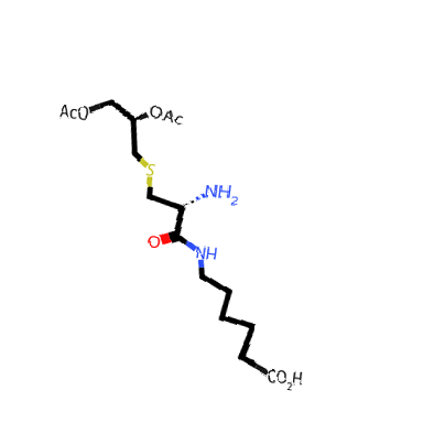 CC(=O)OC[C@H](CSC[C@H](N)C(=O)NCCCCCC(=O)O)OC(C)=O